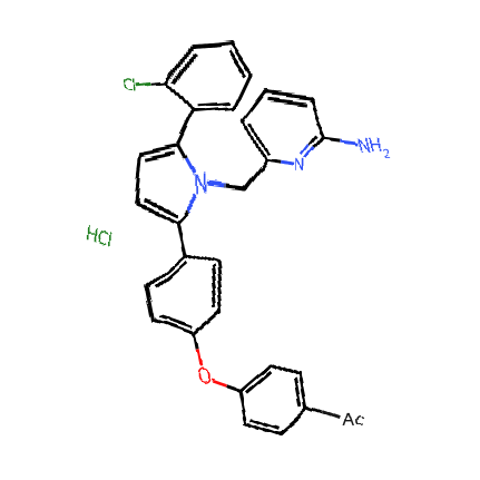 CC(=O)c1ccc(Oc2ccc(-c3ccc(-c4ccccc4Cl)n3Cc3cccc(N)n3)cc2)cc1.Cl